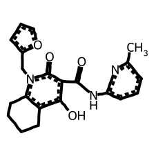 Cc1cccc(NC(=O)c2c(O)c3c(n(Cc4ccco4)c2=O)CCCC3)n1